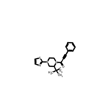 CC(C)(C)C1CN(c2nccs2)CCN1C(=O)C#Cc1ccccc1